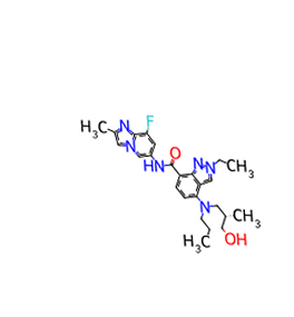 CCCN(C[C@H](C)CO)c1ccc(C(=O)Nc2cc(F)c3nc(C)cn3c2)c2nn(CC)cc12